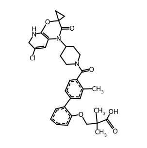 Cc1cc(-c2ccccc2OCC(C)(C)C(=O)O)ccc1C(=O)N1CCC(N2C(=O)C3(CC3)OC3=C2C=C(Cl)CN3)CC1